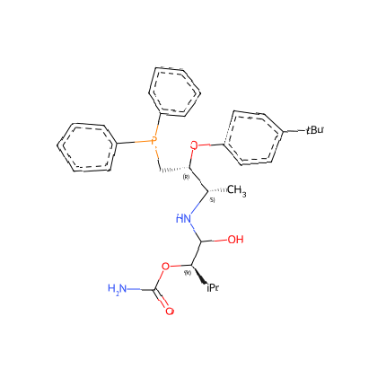 CC(C)[C@@H](OC(N)=O)C(O)N[C@@H](C)[C@H](CP(c1ccccc1)c1ccccc1)Oc1ccc(C(C)(C)C)cc1